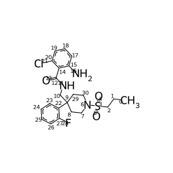 CCCS(=O)(=O)N1CCC(CNC(=O)c2c(N)cccc2Cl)(c2ccccc2F)CC1